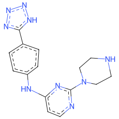 c1cc(Nc2ccc(-c3nnn[nH]3)cc2)nc(N2CCNCC2)n1